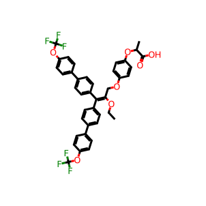 CCOC(COc1ccc(OC(C)C(=O)O)cc1)=C(c1ccc(-c2ccc(OC(F)(F)F)cc2)cc1)c1ccc(-c2ccc(OC(F)(F)F)cc2)cc1